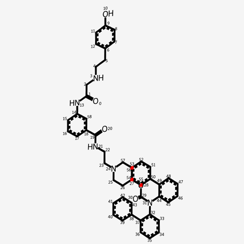 O=C(CNCCc1ccc(O)cc1)Nc1cccc(C(=O)NCCN2CCC(OC(=O)N(c3ccccc3-c3ccccc3)c3ccccc3-c3ccccc3)CC2)c1